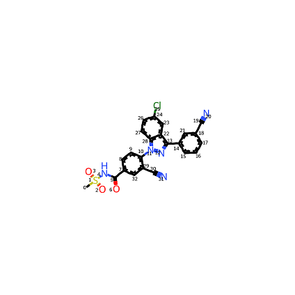 CS(=O)(=O)NC(=O)c1ccc(-n2nc(-c3cccc(C#N)c3)c3cc(Cl)ccc32)c(C#N)c1